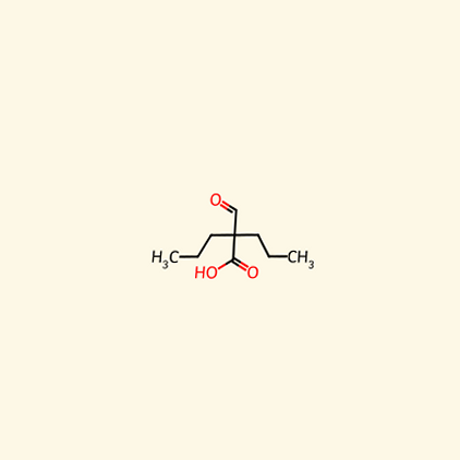 CCCC(C=O)(CCC)C(=O)O